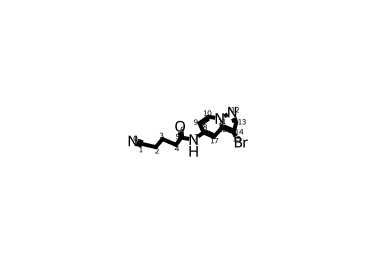 N#CCCCC(=O)Nc1ccn2ncc(Br)c2c1